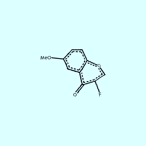 COc1ccc2occ(F)c(=O)c2c1